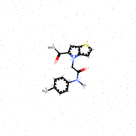 CCN(C(=O)Cn1c(C(=O)OC)cc2sccc21)c1ccc(C)cc1